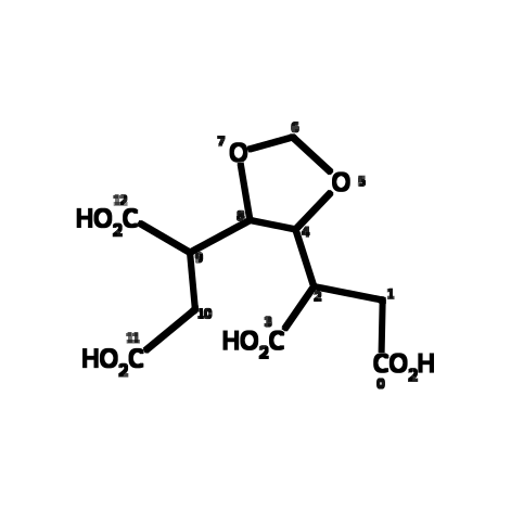 O=C(O)CC(C(=O)O)C1OCOC1C(CC(=O)O)C(=O)O